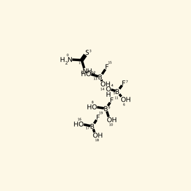 NC(N)=S.OB(O)F.OB(O)F.OB(O)F.OB(O)F